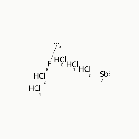 Cl.Cl.Cl.Cl.Cl.[C]F.[Sb]